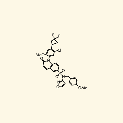 COc1ccc(CN(c2ccon2)S(=O)(=O)c2ccc3c(ccc(=O)n3-c3cc(Cl)c(C4CC(F)(F)C4)cc3OC)c2)cc1